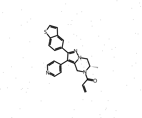 C=CC(=O)N1Cc2c(-c3ccncc3)c(-c3ccc4sccc4c3)nn2C[C@@H]1C